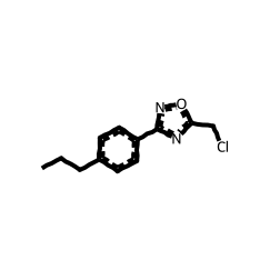 CCCc1ccc(-c2noc(CCl)n2)cc1